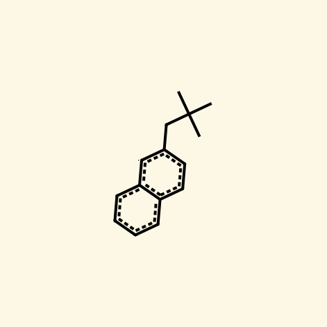 CC(C)(C)Cc1[c]c2ccccc2cc1